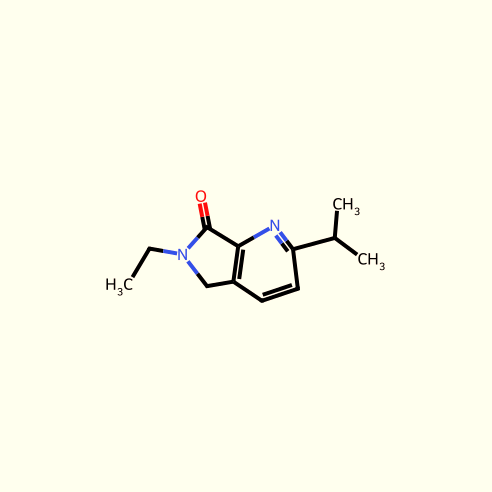 CCN1Cc2ccc(C(C)C)nc2C1=O